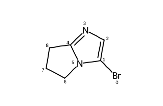 Brc1cnc2n1CCC2